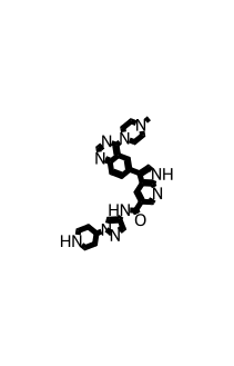 CN1CCN(c2ncnc3ccc(-c4c[nH]c5ncc(C(=O)Nc6cnn(C7CCNCC7)c6)cc45)cc23)CC1